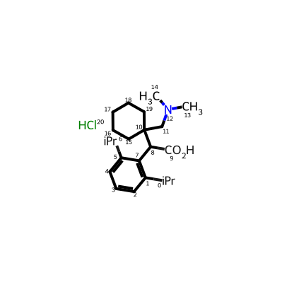 CC(C)c1cccc(C(C)C)c1C(C(=O)O)C1(CN(C)C)CCCCC1.Cl